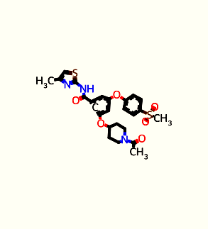 CC(=O)N1CCC(Oc2cc(Oc3ccc(S(C)(=O)=O)cc3)cc(C(=O)Nc3nc(C)cs3)c2)CC1